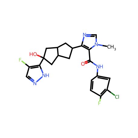 Cn1cnc(C2CC3CC(O)(c4[nH]ncc4F)CC3C2)c1C(=O)Nc1ccc(F)c(Cl)c1